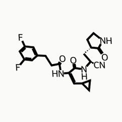 N#C[C@H](C[C@@H]1CCNC1=O)NC(=O)C(=CC1CC1)NC(=O)CCc1cc(F)cc(F)c1